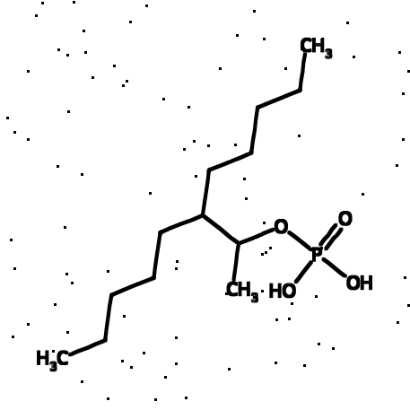 CCCCCC(CCCCC)C(C)OP(=O)(O)O